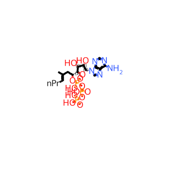 CCCC=C(C)CC(OP(=O)(O)OP(=O)(O)OP(=O)(O)O)[C@H]1O[C@@H](n2cnc3c(N)ncnc32)[C@H](O)[C@@H]1O